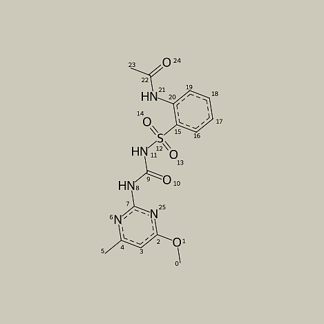 COc1cc(C)nc(NC(=O)NS(=O)(=O)c2ccccc2NC(C)=O)n1